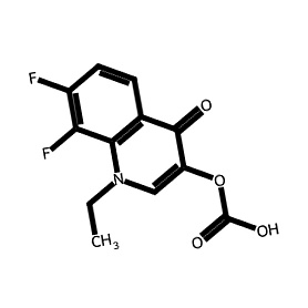 CCn1cc(OC(=O)O)c(=O)c2ccc(F)c(F)c21